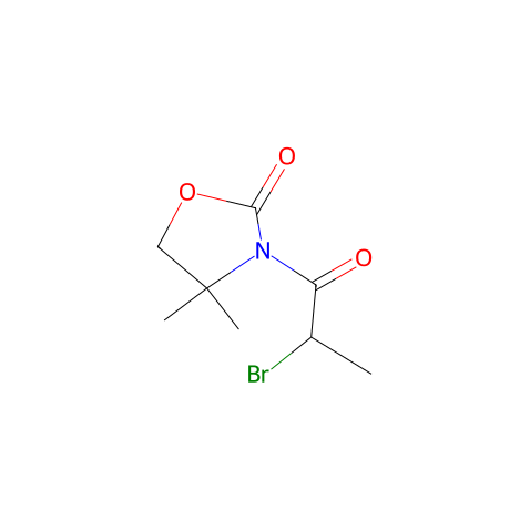 CC(Br)C(=O)N1C(=O)OCC1(C)C